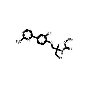 CC(C)CC(C)(COc1ccc(-c2ccnc(C(F)(F)F)n2)cc1Cl)NC(=O)OC(C)(C)C